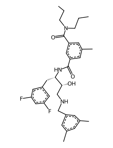 CCCN(CCC)C(=O)c1cc(C)cc(C(=O)N[C@@H](Cc2cc(F)cc(F)c2)[C@H](O)CNCc2cc(C)cc(C)c2)c1